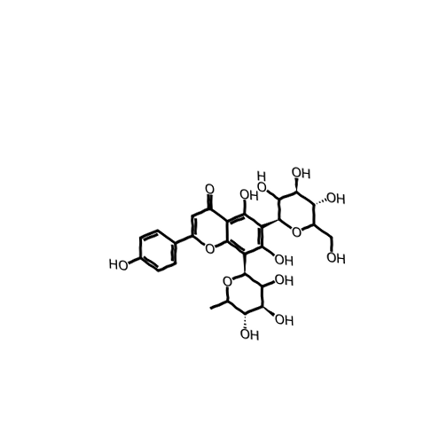 CC1O[C@@H](c2c(O)c([C@@H]3OC(CO)[C@@H](O)[C@H](O)C3O)c(O)c3c(=O)cc(-c4ccc(O)cc4)oc23)C(O)[C@@H](O)[C@@H]1O